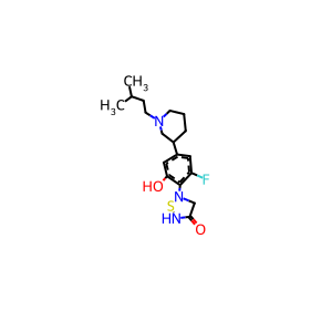 CC(C)CCN1CCCC(c2cc(O)c(N3CC(=O)NS3)c(F)c2)C1